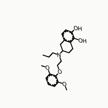 CCCN(CCOc1c(OC)cccc1OC)C1CCc2c(ccc(O)c2O)C1